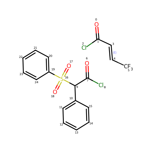 O=C(Cl)/C=C/C(F)(F)F.O=C(Cl)C(c1ccccc1)S(=O)(=O)c1ccccc1